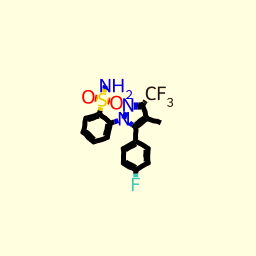 Cc1c(C(F)(F)F)nn(-c2ccccc2S(N)(=O)=O)c1-c1ccc(F)cc1